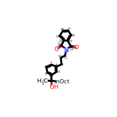 CCCCCCCCC(C)(O)c1cccc(CCCN2C(=O)c3ccccc3C2=O)c1